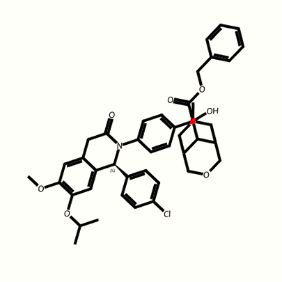 COc1cc2c(cc1OC(C)C)[C@H](c1ccc(Cl)cc1)N(c1ccc(C(C)(O)C3C4COCC3CN(C(=O)OCc3ccccc3)C4)cc1)C(=O)C2